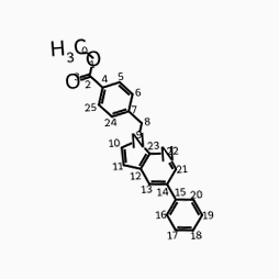 COC(=O)c1ccc(Cn2ccc3cc(-c4ccccc4)cnc32)cc1